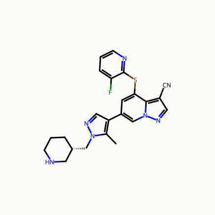 Cc1c(-c2cc(Sc3ncccc3F)c3c(C#N)cnn3c2)cnn1C[C@H]1CCCNC1